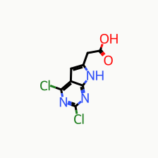 O=C(O)Cc1cc2c(Cl)nc(Cl)nc2[nH]1